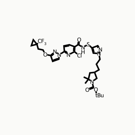 CC(C)(C)OC(=O)N1CC(CCCn2cc(SNC(=O)c3ccc(-n4ccc(OCCC5(C(F)(F)F)CC5)n4)nc3Cl)cn2)CC1(C)C